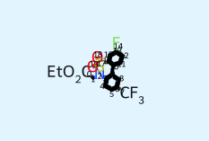 CCOC(=O)CN1c2ccc(C(F)(F)F)cc2-c2ccc(F)cc2S1(=O)=O